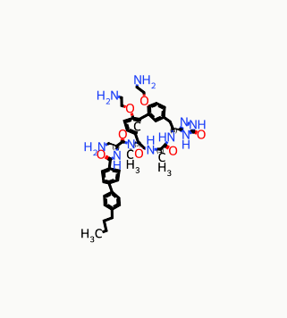 CCCCc1ccc(-c2ccc(C(=O)N[C@@H](CN)C(=O)N(C)[C@@H]3C(=O)N[C@@H](C)C(=O)N[C@H](c4n[nH]c(=O)[nH]4)Cc4ccc(OCCN)c(c4)-c4cc3ccc4OCCN)cc2)cc1